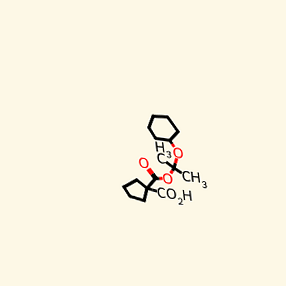 CC(C)(OC(=O)C1(C(=O)O)CCCC1)OC1CCCCC1